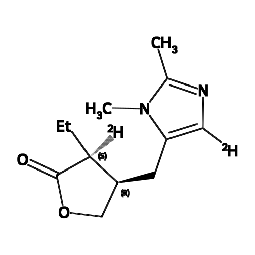 [2H]c1nc(C)n(C)c1C[C@H]1COC(=O)[C@@]1([2H])CC